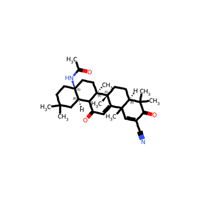 CC(=O)N[C@]12CCC(C)(C)C[C@@H]1C1C(=O)C=C3C4(C)C=C(C#N)C(=O)C(C)(C)[C@@H]4CC[C@@]3(C)[C@]1(C)CC2